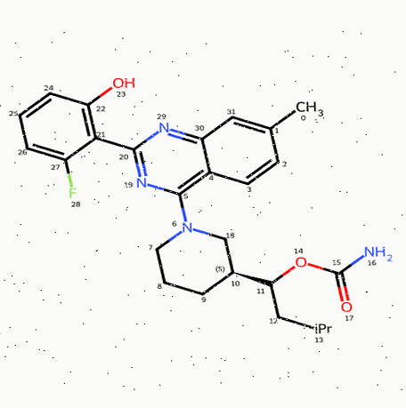 Cc1ccc2c(N3CCC[C@H](C(CC(C)C)OC(N)=O)C3)nc(-c3c(O)cccc3F)nc2c1